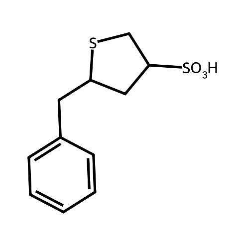 O=S(=O)(O)C1CSC(Cc2ccccc2)C1